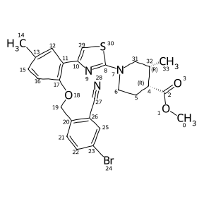 COC(=O)[C@@H]1CCN(c2nc(-c3cc(C)ccc3OCc3ccc(Br)cc3C#N)cs2)C[C@@H]1C